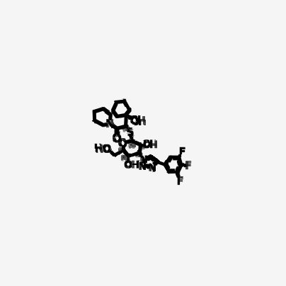 O=C([C@@H](S[C@@H]1O[C@H](CO)[C@H](O)[C@H](n2cc(-c3cc(F)c(F)c(F)c3)nn2)[C@H]1O)C1(O)CCCCC1)N1CCCCC1